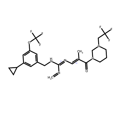 C=N/C(=N\C=C(/C)C(=O)N1CCCN(CC(F)(F)F)C1)NCc1cc(OC(F)(F)F)cc(C2CC2)c1